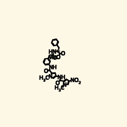 COC(=O)[C@H](Cc1ccccc1)NC(=O)Cc1cccc(NC(=O)c2cc(NC(=O)c3cc([N+](=O)[O-])cn3C)cn2C)c1